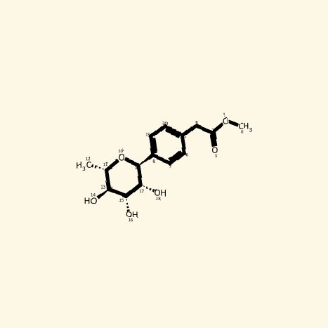 COC(=O)Cc1ccc([C@@H]2O[C@@H](C)[C@H](O)[C@@H](O)[C@H]2O)cc1